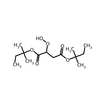 CCC(C)(C)OC(=O)CC(OO)C(=O)OC(C)(C)CC